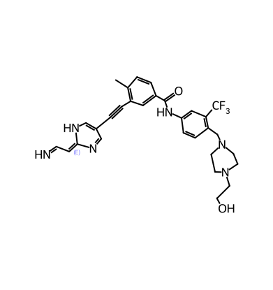 Cc1ccc(C(=O)Nc2ccc(CN3CCN(CCO)CC3)c(C(F)(F)F)c2)cc1C#CC1=CN/C(=C\C=N)N=C1